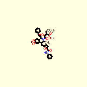 CCC(C)OC(=O)C(CC(=O)O)=C(O)C(=O)N(CC=Cc1ccccc1)C(C)C(Cc1ccc(C(=O)Nc2ccccc2)o1)c1ccc2c(c1)OCO2